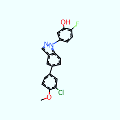 COc1ccc(-c2ccc3c(cnn3-c3ccc(F)c(O)c3)c2)cc1Cl